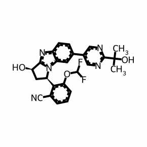 CC(C)(O)c1ncc(-c2ccc3nc4n(c3c2)[C@@H](c2c(C#N)cccc2OC(F)F)C[C@H]4O)cn1